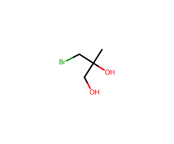 CC(O)(CO)CBr